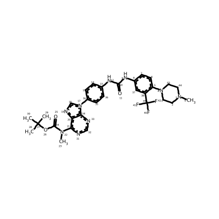 CN1CCN(c2ccc(NC(=O)Nc3ccc(-n4cnc5c(N(C)C(=O)OC(C)(C)C)ncnc54)cc3)cc2C(F)(F)F)CC1